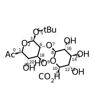 CC(=O)[C@H]1O[C@@H](OC(C)(C)C)[C@H](O[C@@H]2O[C@H](C(=O)O)[C@@H](O)[C@H](O)[C@H]2O)[C@@H](O)[C@@H]1O